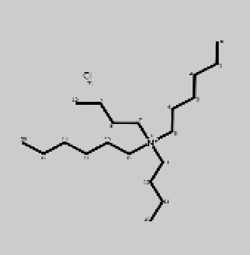 CCCCCC[N+](CCCC)(CCCC)CCCCCC.[Cl-]